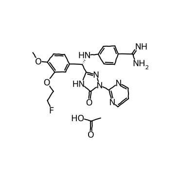 CC(=O)O.COc1ccc([C@H](Nc2ccc(C(=N)N)cc2)c2nn(-c3ncccn3)c(=O)[nH]2)cc1OCCF